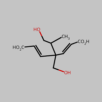 CC(CO)C(C=CC(=O)O)(C=CC(=O)O)CO